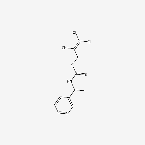 CC(NC(=S)SCC(Cl)=C(Cl)Cl)c1ccccc1